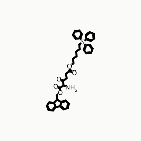 NC(C(=O)CCC(=O)OCCCCCCS(c1ccccc1)(c1ccccc1)c1ccccc1)C(=O)OCC1c2ccccc2-c2ccccc21